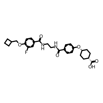 O=C(NCCNC(=O)c1ccc(OCC2CCC2)c(F)c1)c1ccc(O[C@H]2CC[C@@H](C(=O)O)CC2)cc1